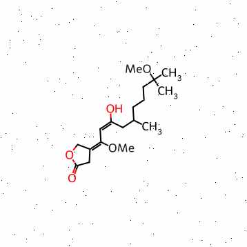 COC(/C=C(/O)CC(C)CCCC(C)(C)OC)=C1COC(=O)C1